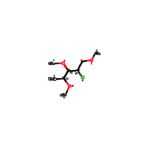 CCCCOC[C@@H](Cl)[C@H](OCCCC)[C@H](C=O)OCCCC